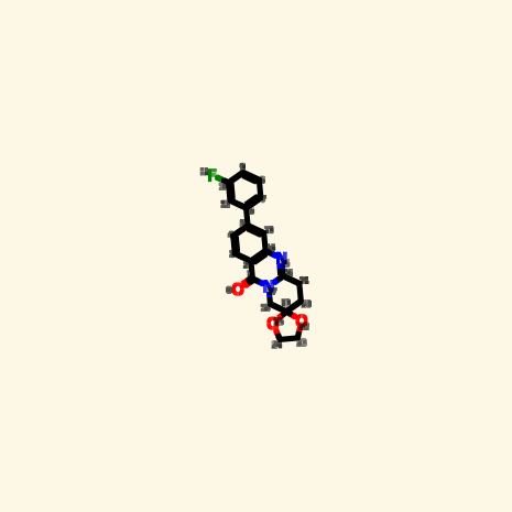 O=c1c2ccc(-c3cccc(F)c3)cc2nc2n1CC1(CC2)OCCO1